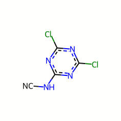 N#CNc1nc(Cl)nc(Cl)n1